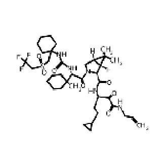 C=CCNC(=O)C(=O)C(CCC1CC1)NC(=O)[C@@H]1[C@@H]2[C@H](CN1C(=O)[C@@H](NC(=O)NC1(CS(=O)(=O)CC(F)(F)F)CCCCC1)C1(C)CCCCC1)C2(C)C